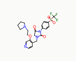 O=C1CN(Cc2ccncc2OCCN2CCCC2)C(=O)N1c1ccc(S(=O)(=O)C(F)(F)F)cc1